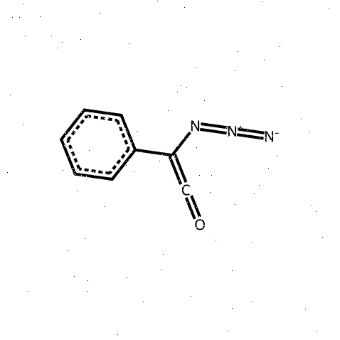 [N-]=[N+]=NC(=C=O)c1ccccc1